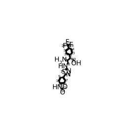 N[C@@H](CNc1nnc(-c2ccc3[nH]c(=O)oc3c2)s1)[C@@H](CO)c1ccc(C(F)(F)F)cc1